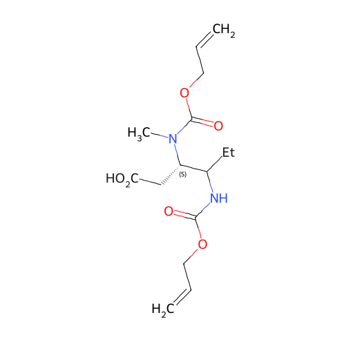 C=CCOC(=O)NC(CC)[C@H](CC(=O)O)N(C)C(=O)OCC=C